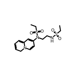 CCS(=O)(=O)NCCN(C1=CC2=CC=CCN2C=C1)S(=O)(=O)CC